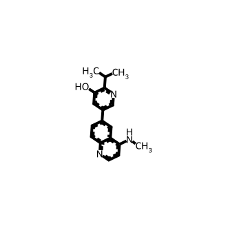 CNc1ccnc2ccc(-c3cnc(C(C)C)c(O)c3)cc12